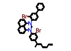 C=C/C=C\C=C(/C)c1ccc(N2CN(c3ccc(-c4ccccc4)cc3Br)c3cccc4cccc2c34)c(Br)c1